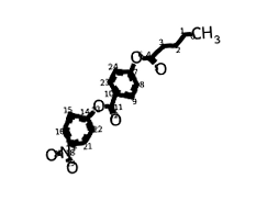 CCCCC(=O)Oc1ccc(C(=O)Oc2ccc([N+](=O)[O-])cc2)cc1